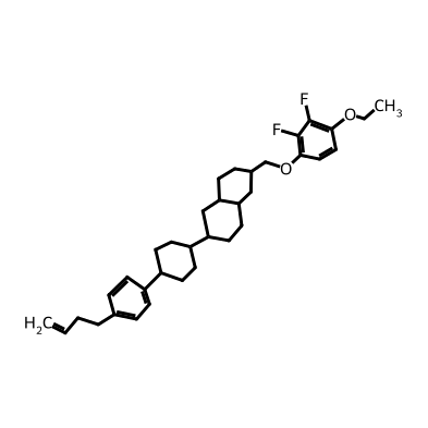 C=CCCc1ccc(C2CCC(C3CCC4CC(COc5ccc(OCC)c(F)c5F)CCC4C3)CC2)cc1